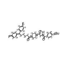 CC(C)(C)c1ccc(C(=O)NCC(=O)N2CCN(C(=O)CCCCC(c3ccc(F)cc3)c3ccc(F)cc3)CC2)cc1